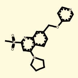 CS(=O)(=O)c1cc(N2CCCC2)c2ccc(COc3ccncc3)cc2n1